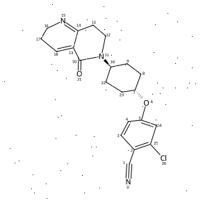 N#Cc1ccc(O[C@H]2CC[C@H](N3CCC4=NCCC=C4C3=O)CC2)cc1Cl